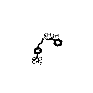 COC(=O)c1ccc(CCCN(C)C[C@H](O)c2ccccc2)cc1